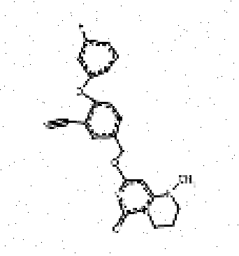 CN1CCCn2c1cc(OCc1ccc(Oc3cccc(F)c3)c(C#N)c1)nc2=O